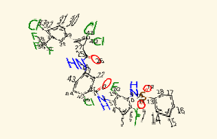 O=C(Nc1ccc(F)c(NS(=O)(=O)c2ccccc2)c1F)c1cc(NC(=O)[C@H]2[C@H](c3ccc(Cl)c(C(F)(F)F)c3)C2(Cl)Cl)ccc1Cl